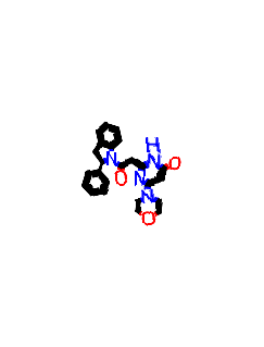 O=C(Cc1nc(N2CCOCC2)cc(=O)[nH]1)N1c2ccccc2C[C@@H]1c1ccccc1